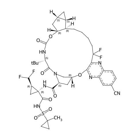 CC(C)(C)[C@@H]1NC(=O)O[C@@H]2C[C@@H]3C[C@@H]3[C@H]2CCCCC(F)(F)c2nc3ccc(C#N)cc3nc2O[C@@H]2C[C@@H](C(=O)N[C@]3(C(=O)NS(=O)(=O)C4(C)CC4)C[C@H]3C(F)F)N(C2)C1=O